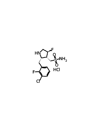 Cl.NS(=O)(=O)C[C@H]1[C@H](F)CN[C@H]1Cc1cccc(Cl)c1F